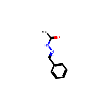 CC(C)(C)C(=O)N/N=C/c1ccccc1